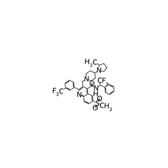 C[C@H]1CCCN1C1CCN(Cc2c(-c3cccc(C(F)(F)F)c3)nc3ccc(S(C)(=O)=O)cc3c2C(=O)N[C@H](c2ccccc2)C(F)(F)F)CC1